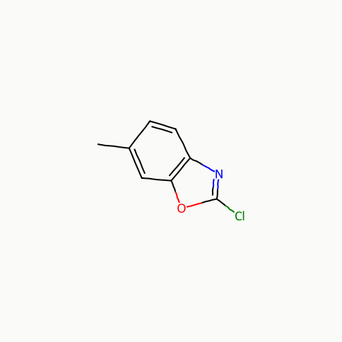 Cc1ccc2nc(Cl)oc2c1